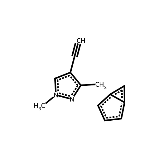 C#Cc1cn(C)nc1C.c1cc2cc-2c1